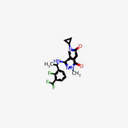 CC(Nc1nn(C)c(=O)c2cc(=O)n(C3CC3)cc12)c1cccc(C(F)F)c1F